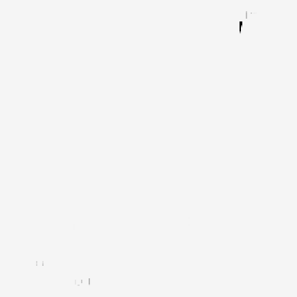 CCC[C@H]1CC[C@H](c2ccc(Oc3c(C)cc(P(=O)(O)O)cc3C)cc2F)CC1